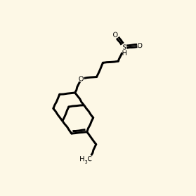 CCC1=CC2CCC(OCCC[SH](=O)=O)C(C1)C2